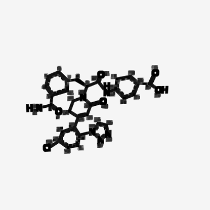 NC(=O)c1cccc(C[C@@H](C(=O)Nc2ccc(C(=O)O)cc2)N2CCC(c3cc(Cl)ccc3-n3ccnn3)=CC2=O)c1